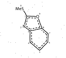 [CH2]Sc1nc2ccccc2o1